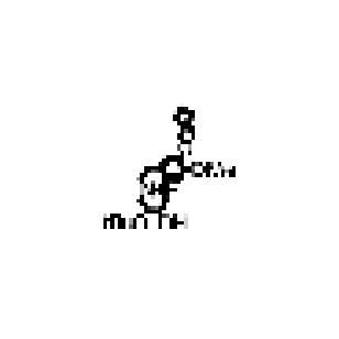 COc1cc2c(cc1OCC1(F)CCC1)CCN1C[C@@H](OC(C)(C)C)[C@H](O)C[C@H]21